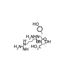 C[C@@H](O)[C@H](NC(=O)[C@@H](Cc1ccc(O)cc1)NC(=O)[C@@H](N)CCCNC(=N)N)C(=O)O